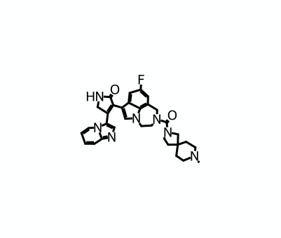 CN1CCC2(CC1)CCN(C(=O)N1CCn3cc(C4=C(c5cnc6ccccn56)CNC4=O)c4cc(F)cc(c43)C1)C2